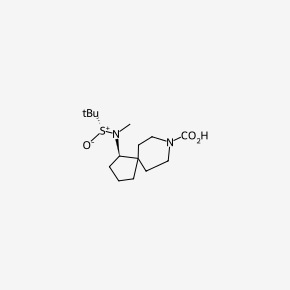 CN([C@@H]1CCCC12CCN(C(=O)O)CC2)[S@+]([O-])C(C)(C)C